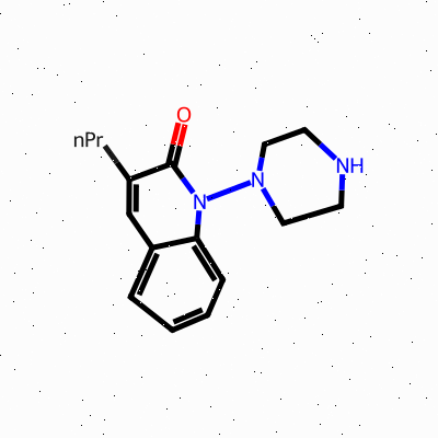 CCCc1cc2ccccc2n(N2CCNCC2)c1=O